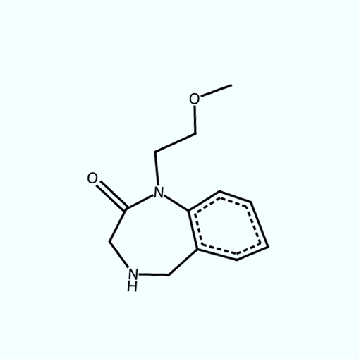 COCCN1C(=O)CNCc2ccccc21